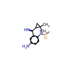 CC1(C)CC1C(=N)c1cc(N)ccc1NPI